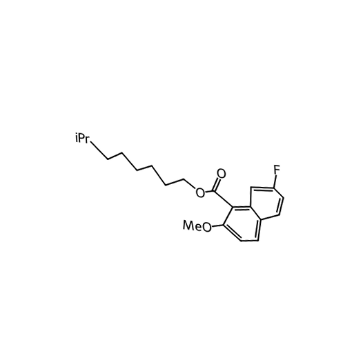 COc1ccc2ccc(F)cc2c1C(=O)OCCCCCCC(C)C